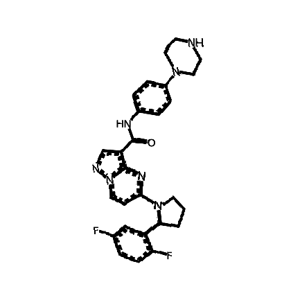 O=C(Nc1ccc(N2CCNCC2)cc1)c1cnn2ccc(N3CCCC3c3cc(F)ccc3F)nc12